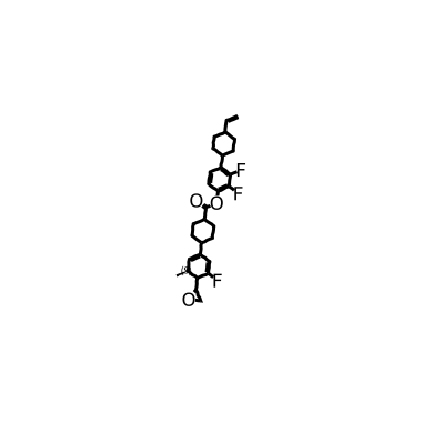 C=CC1CCC(c2ccc(OC(=O)C3CCC(C4=C[C@H](C)C(C5CO5)C(F)=C4)CC3)c(F)c2F)CC1